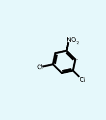 O=[N+]([O-])c1[c]c(Cl)cc(Cl)c1